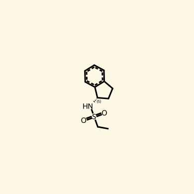 CCS(=O)(=O)N[C@H]1CCc2ccccc21